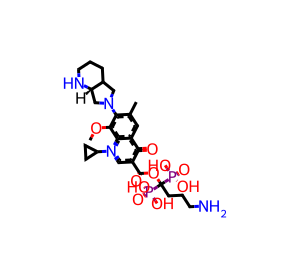 COc1c(N2CC3CCCN[C@H]3C2)c(C)cc2c(=O)c(C(=O)OC(CCCN)(P(=O)(O)O)P(=O)(O)O)cn(C3CC3)c12